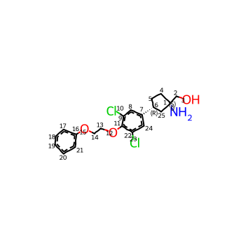 N[C@@]1(CO)CC[C@@H](c2cc(Cl)c(OCCOc3ccccc3)c(Cl)c2)C1